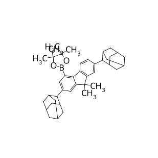 CC1(C)c2cc(C3C4CC5CC(C4)CC3C5)ccc2-c2c(B3OC(C)(C)C(C)(C)O3)cc(C3C4CC5CC(C4)CC3C5)cc21